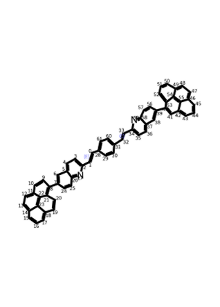 C(=C\c1ccc2cc(-c3ccc4ccc5cccc6ccc3c4c56)ccc2n1)/c1ccc(/C=C/c2ccc3cc(-c4cc5cccc6ccc7cccc4c7c65)ccc3n2)cc1